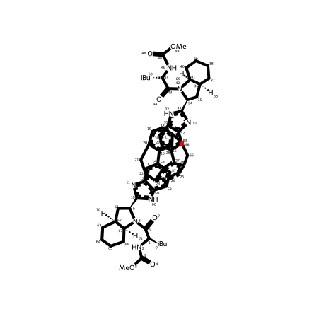 CC[C@H](C)C(NC(=O)OC)C(=O)N1[C@H](c2nc3cc(-c4cc5ccc4CCc4ccc(c(-c6ccc7[nH]c([C@@H]8C[C@@H]9CCCC[C@@H]9N8C(=O)C(NC(=O)OC)[C@@H](C)CC)nc7c6)c4)CC5)ccc3[nH]2)C[C@@H]2CCCC[C@@H]21